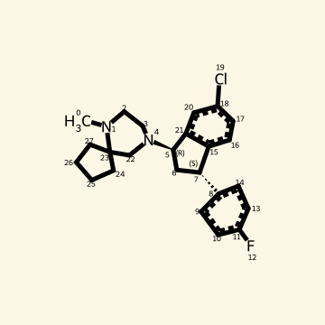 CN1CCN([C@@H]2C[C@@H](c3ccc(F)cc3)c3ccc(Cl)cc32)CC12CCCC2